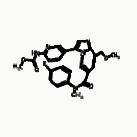 COCc1cc(C(=O)N(C)c2ccc(F)cc2)cn2c(-c3ccc(NC(=O)OC)nc3)cnc12